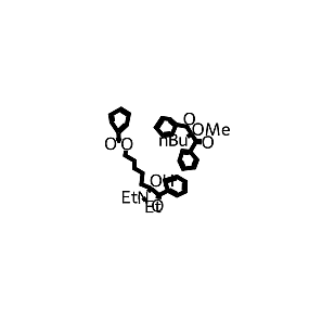 CCCCC(OC)(C(=O)c1ccccc1)C(=O)c1ccccc1.CCN(CC)C(O)(CCCCCOC(=O)c1ccccc1)C(=O)c1ccccc1